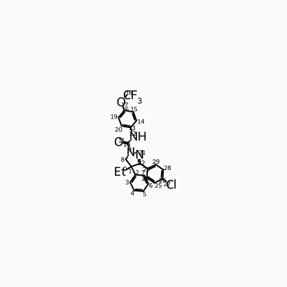 CCC1(c2ccccc2)CN(C(=O)Nc2ccc(OC(F)(F)F)cc2)N=C1c1ccc(Cl)cc1